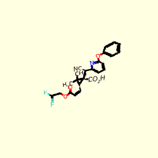 CC1(C)[C@H](/C=C\C(=O)OCC(F)F)[C@@]1(C(=O)O)[C@@H](C#N)c1cccc(Oc2ccccc2)n1